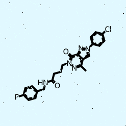 Cc1nn(CCCC(=O)NCc2ccc(F)cc2)c(=O)c2nn(-c3ccc(Cl)cc3)cc12